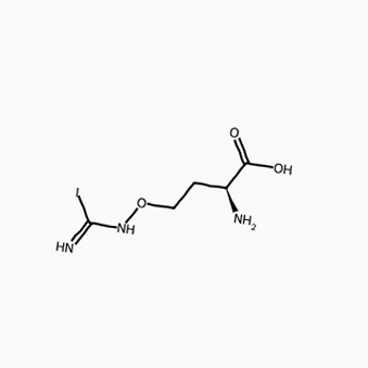 N=C(I)NOCC[C@H](N)C(=O)O